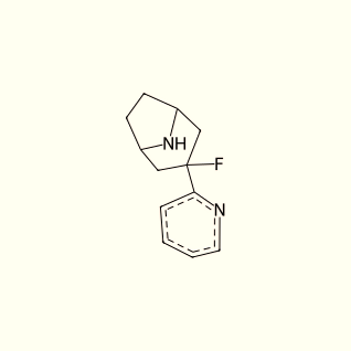 FC1(c2ccccn2)CC2CCC(C1)N2